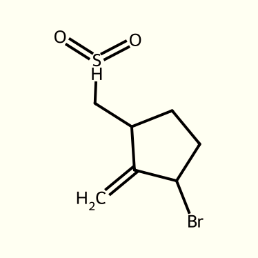 C=C1C(Br)CCC1C[SH](=O)=O